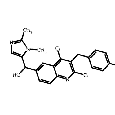 Cc1ncc(C(O)c2ccc3nc(Cl)c(Cc4ccc(F)cc4)c(Cl)c3c2)n1C